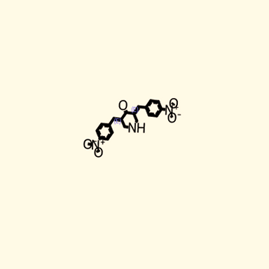 O=C1/C(=C/c2ccc([N+](=O)[O-])cc2)CNC/C1=C\c1ccc([N+](=O)[O-])cc1